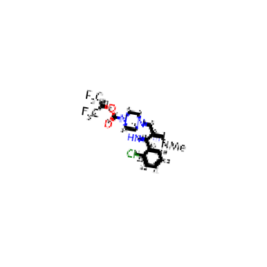 CN/C=C(/CN1CCN(C(=O)OC(C(F)(F)F)C(F)(F)F)CC1)C(=N)c1ccccc1Cl